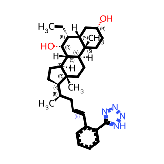 CC[C@H]1[C@@H](O)[C@@H]2[C@H](CC[C@]3(C)[C@@H]([C@H](C)C/C=C/c4ccccc4-c4nnn[nH]4)CC[C@@H]23)[C@@]2(C)CC[C@@H](O)C[C@@H]12